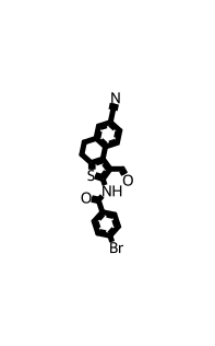 N#Cc1ccc2c(c1)CCc1sc(NC(=O)c3ccc(Br)cc3)c(C=O)c1-2